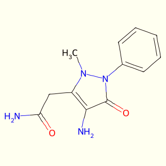 Cn1c(CC(N)=O)c(N)c(=O)n1-c1ccccc1